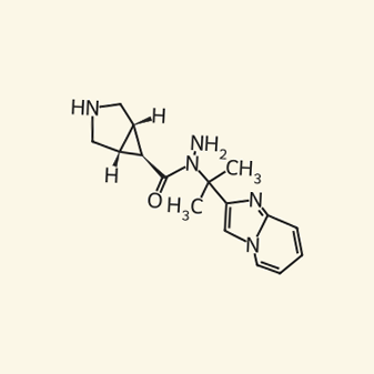 CC(C)(c1cn2ccccc2n1)N(N)C(=O)[C@H]1[C@@H]2CNC[C@@H]21